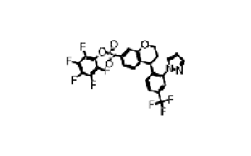 O=S(=O)(Oc1c(F)c(F)c(F)c(F)c1F)c1ccc2c(c1)OCCC2c1ccc(C(F)(F)F)cc1-n1cccn1